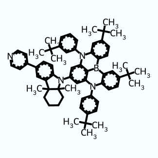 CC(C)(C)c1ccc(N2c3ccc(C(C)(C)C)cc3B3c4ccc(C(C)(C)C)cc4N(c4cccc(C(C)(C)C)c4)c4cc(N5c6ccc(-c7ccncc7)cc6C6(C)CCCCC56C)cc2c43)cc1